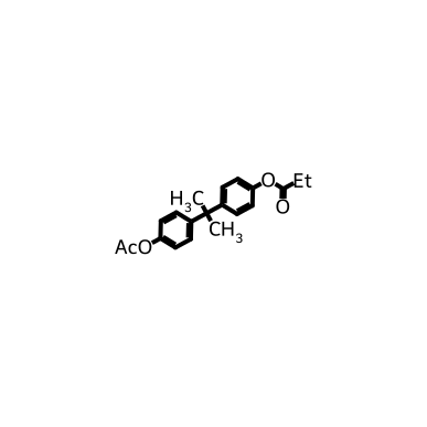 CCC(=O)Oc1ccc(C(C)(C)c2ccc(OC(C)=O)cc2)cc1